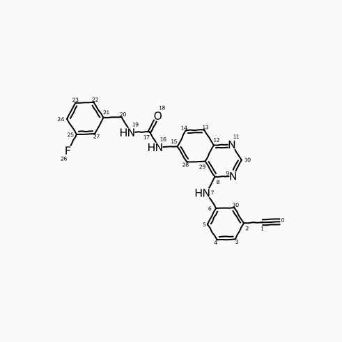 C#Cc1cccc(Nc2ncnc3ccc(NC(=O)NCc4cccc(F)c4)cc23)c1